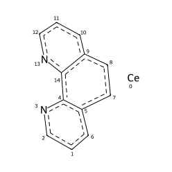 [Ce].c1cnc2c(c1)ccc1cccnc12